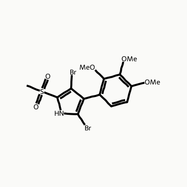 COc1ccc(-c2c(Br)[nH]c(S(C)(=O)=O)c2Br)c(OC)c1OC